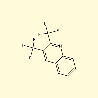 FC(F)(F)c1cc2ccccc2nc1C(F)(F)F